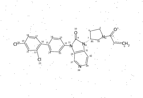 C=CC(=O)N1CC[C@@H](n2c(=O)n(-c3ccc(-c4ccc(Cl)cc4Cl)cc3)c3cnccc32)C1